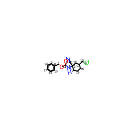 N#CC1(NC(=O)OCc2ccccc2)CCCC(CCl)C1